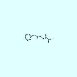 CC(C)NCCSCc1ccccc1